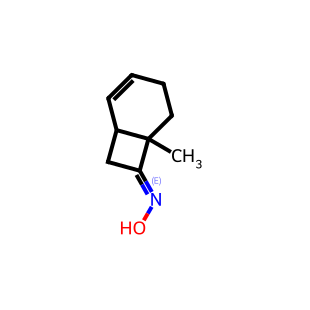 CC12CCC=CC1C/C2=N\O